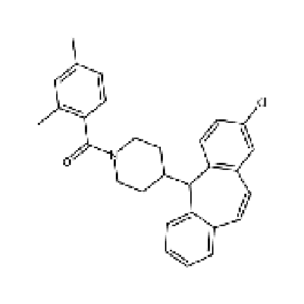 Cc1ccc(C(=O)N2CCC(C3c4ccccc4C=Cc4cc(Cl)ccc43)CC2)c(C)c1